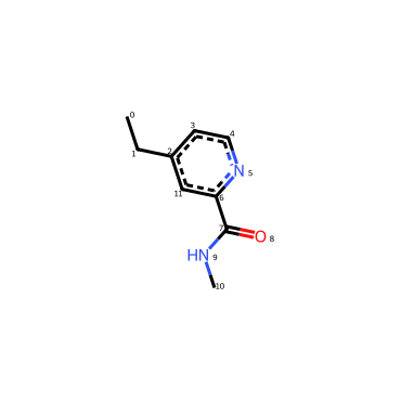 CCc1ccnc(C(=O)NC)c1